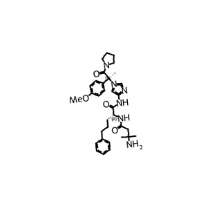 COc1ccc([C@@](C)(C(=O)N2CCCC2)n2cnc(NC(=O)[C@@H](CCCc3ccccc3)NC(=O)CC(C)(C)N)c2)cc1